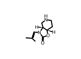 CC(C)=CN1C(=O)O[C@H]2CCNC[C@H]21